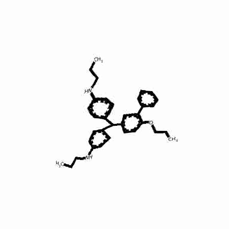 CCCNc1ccc(C(c2ccc(NCCC)cc2)c2ccc(OCCC)c(-c3ccccc3)c2)cc1